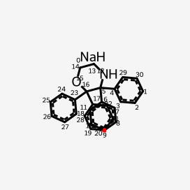 [NaH].c1ccc(C2(c3ccccc3)NCCOC2(c2ccccc2)c2ccccc2)cc1